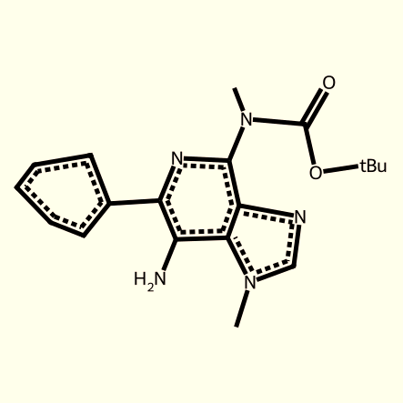 CN(C(=O)OC(C)(C)C)c1nc(-c2ccccc2)c(N)c2c1ncn2C